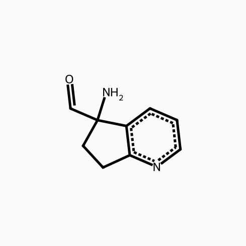 NC1(C=O)CCc2ncccc21